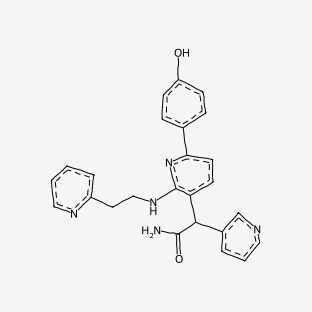 NC(=O)C(c1cccnc1)c1ccc(-c2ccc(O)cc2)nc1NCCc1ccccn1